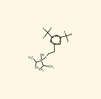 CC(C)[Si](O)(CCCc1cc(C(F)(F)F)cc(C(F)(F)F)c1)C(C)C